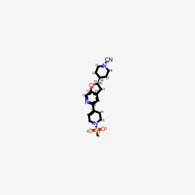 CS(=O)(=O)N1CC=C(c2cc3c(cn2)O[C@@H](C2CCN(C#N)CC2)C3)CC1